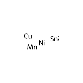 [Cu].[Mn].[Ni].[Sn]